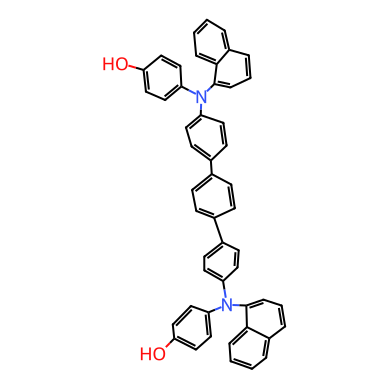 Oc1ccc(N(c2ccc(-c3ccc(-c4ccc(N(c5ccc(O)cc5)c5cccc6ccccc56)cc4)cc3)cc2)c2cccc3ccccc23)cc1